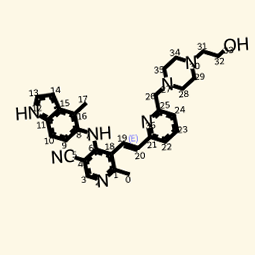 Cc1ncc(C#N)c(Nc2ccc3[nH]ccc3c2C)c1/C=C/c1cccc(CN2CCN(CCO)CC2)n1